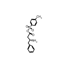 Cc1ccc(S(=O)(=O)OC(=O)CC(N)Cc2ccccc2)cc1